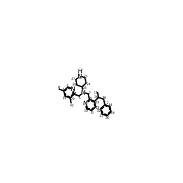 Cc1cnc(CN(Cc2ncccc2C(C)Cc2ccccc2)C2CCNCC2)c(C)c1